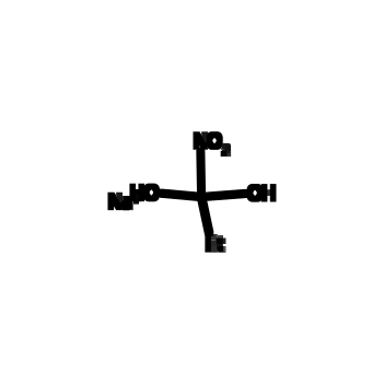 CCC(O)(O)[N+](=O)[O-].[Na+]